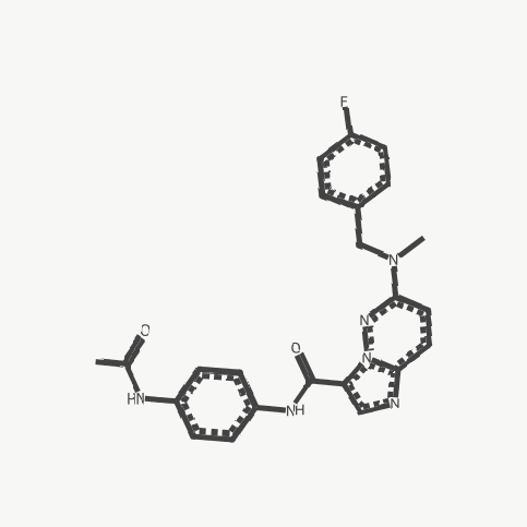 CC(=O)Nc1ccc(NC(=O)c2cnc3ccc(N(C)Cc4ccc(F)cc4)nn23)cc1